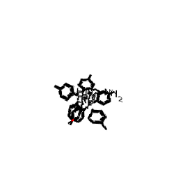 Cc1ccc([PH](c2ccc(C)cc2)(c2ccc(C)cc2)[Ru]([Cl])([Cl])([NH]CCN)[PH](c2ccc(C)cc2)(c2ccc(C)cc2)c2ccc(C)cc2)cc1